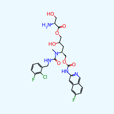 CN(C(=O)NCc1cccc(F)c1Cl)[C@H](COC(=O)Nc1cc2cc(F)ccc2cn1)CC(O)COC(=O)[C@@H](N)CO